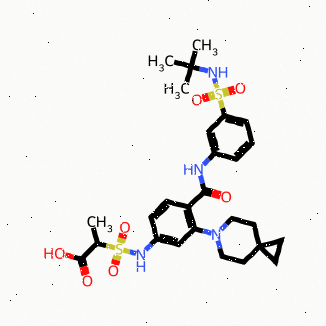 CC(C(=O)O)S(=O)(=O)Nc1ccc(C(=O)Nc2cccc(S(=O)(=O)NC(C)(C)C)c2)c(N2CCC3(CC2)CC3)c1